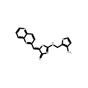 Cc1ccsc1CNC1=NC(=O)/C(=C/c2ccc3ncccc3n2)S1